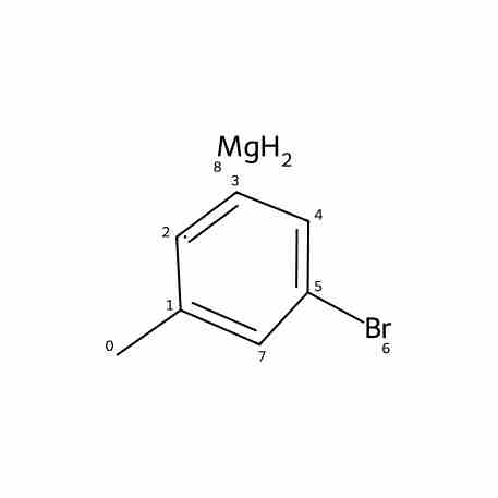 Cc1[c]ccc(Br)c1.[MgH2]